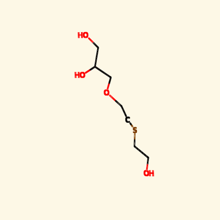 OCCSCCOCC(O)CO